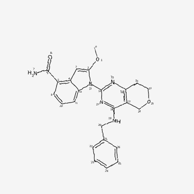 COc1cc2c(C(N)=O)cccc2n1-c1nc2c(c(NCc3ccccc3)n1)COCC2